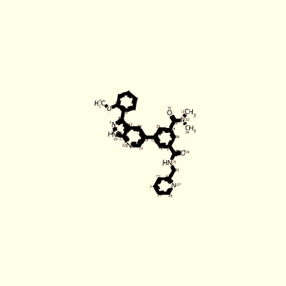 COc1ccccc1-c1n[nH]c2ncc(-c3cc(C(=O)NCc4ccccn4)cc(C(=O)N(C)C)c3)cc12